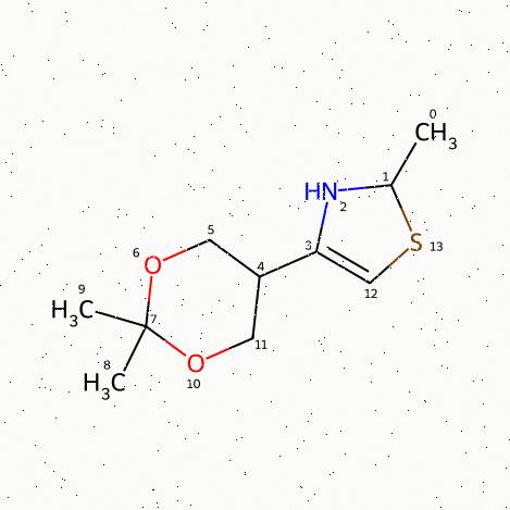 CC1NC(C2COC(C)(C)OC2)=CS1